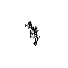 N#CN=C(Nc1c(Br)cc(C[C@@H](N)C(=O)N2CCN(c3ccncc3)CC2)cc1Br)N1CCC(N2Cc3ccccc3NC2=O)CC1